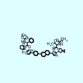 COC(=O)NC(C(=O)N1CC2(CC2)C[C@H]1c1ncc(-c2ccc3cc(-c4ccc(-c5cnc([C@@H]6[C@H]7CC[C@H](C7)N6C(=O)[C@H](NC(=O)OC)c6ccccc6)[nH]5)cc4)ccc3c2)[nH]1)C(C)C